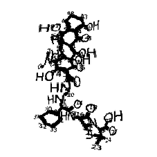 CN(C)[C@@H]1C(O)=C(C(=O)NCNC(C(=O)NC2C(=O)N3C2SC(C)(C)C3C(=O)O)c2ccccc2)C(=O)[C@@]2(O)C(O)=C3C(=O)c4c(O)cccc4[C@@](C)(O)[C@H]3C[C@@H]12